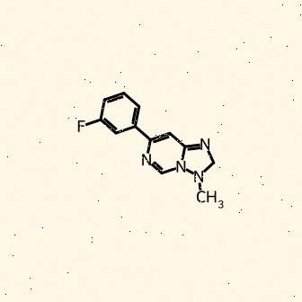 CN1CN=C2C=C(c3cccc(F)c3)N=CN21